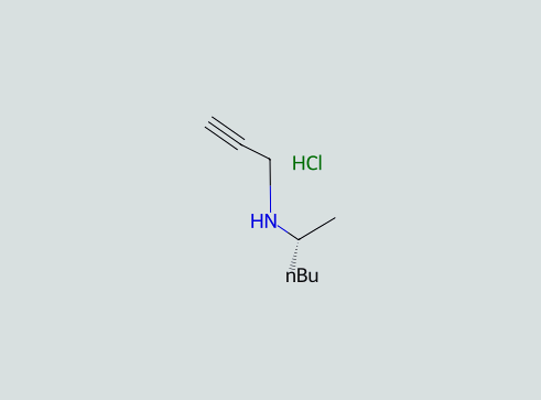 C#CCN[C@H](C)CCCC.Cl